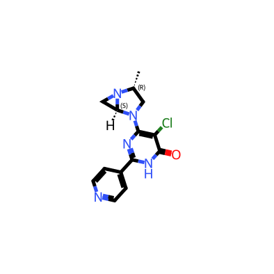 C[C@@H]1CN(c2nc(-c3ccncc3)[nH]c(=O)c2Cl)[C@H]2CN12